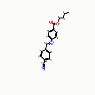 CCCCOC(=O)c1ccc(NCc2ccc(C#N)cc2)cc1